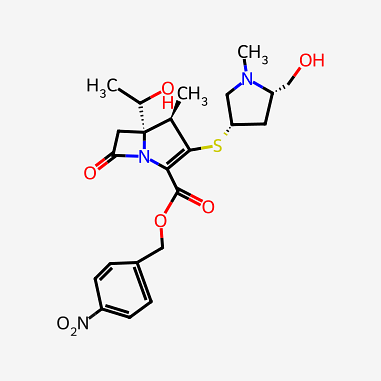 CC(O)[C@@]12CC(=O)N1C(C(=O)OCc1ccc([N+](=O)[O-])cc1)=C(S[C@H]1C[C@@H](CO)N(C)C1)[C@@H]2C